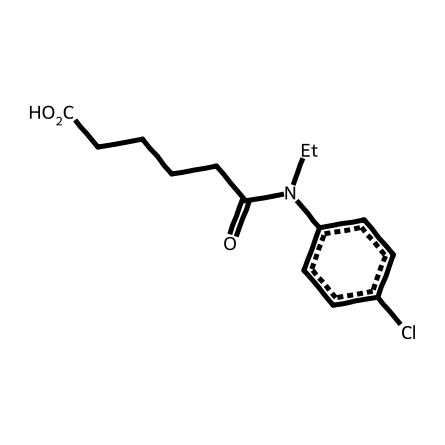 CCN(C(=O)CCCCC(=O)O)c1ccc(Cl)cc1